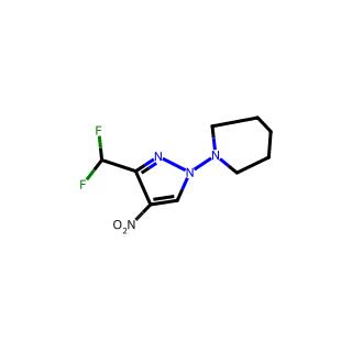 O=[N+]([O-])c1cn(N2CCCCC2)nc1C(F)F